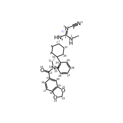 CN/C(=N\C#N)N[C@H]1CC[C@](CNC(=O)c2ccc3c(c2)OCO3)(c2ccccc2)CC1